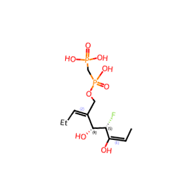 C/C=C(/O)[C@@H](F)[C@H](O)/C(=C\CC)COP(=O)(O)CP(=O)(O)O